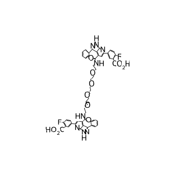 O=C(O)c1cc(-c2cc(C(=O)NCCOCCOCCOCCOCCNC(=O)c3cc(-c4ccc(F)c(C(=O)O)c4)nc4[nH]nc(-c5ccccc5)c34)c3c(-c4ccccc4)n[nH]c3n2)ccc1F